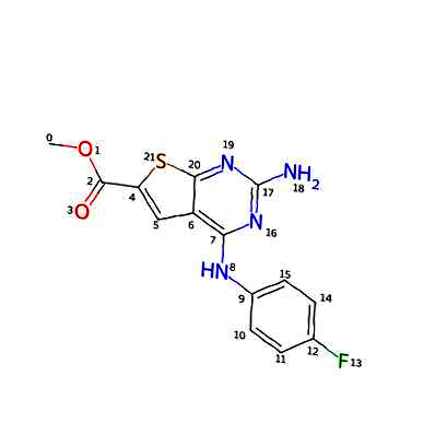 COC(=O)c1cc2c(Nc3ccc(F)cc3)nc(N)nc2s1